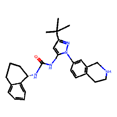 CC(C)(C)c1cc(NC(=O)N[C@H]2CCCc3ccccc32)n(-c2ccc3c(c2)CNCC3)n1